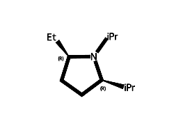 CC[C@@H]1CC[C@H](C(C)C)N1C(C)C